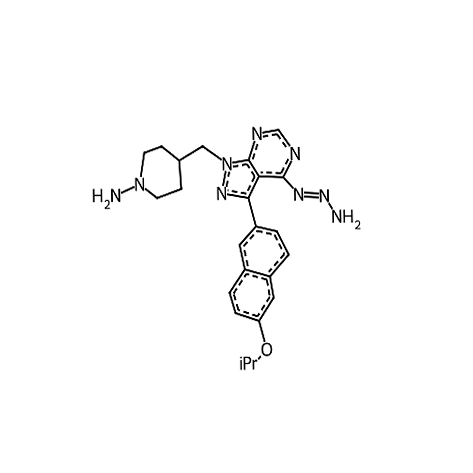 CC(C)Oc1ccc2cc(-c3nn(CC4CCN(N)CC4)c4ncnc(N=NN)c34)ccc2c1